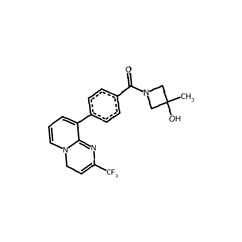 CC1(O)CN(C(=O)c2ccc(C3=CC=CN4CC=C(C(F)(F)F)N=C34)cc2)C1